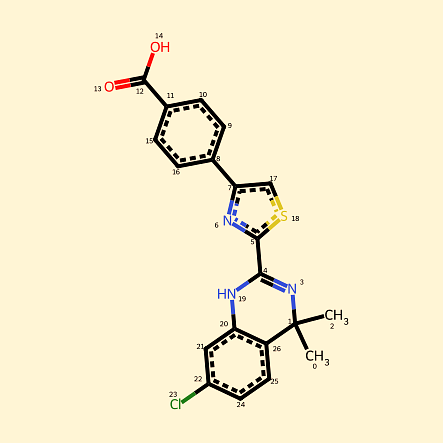 CC1(C)N=C(c2nc(-c3ccc(C(=O)O)cc3)cs2)Nc2cc(Cl)ccc21